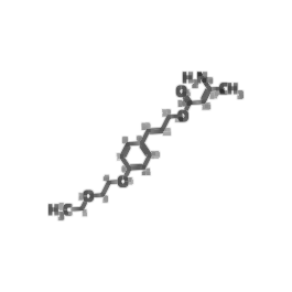 CCOCCOc1ccc(C=CCOC(=O)C=C(C)N)cc1